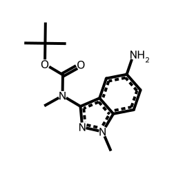 CN(C(=O)OC(C)(C)C)c1nn(C)c2ccc(N)cc12